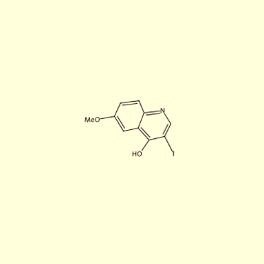 COc1ccc2ncc(I)c(O)c2c1